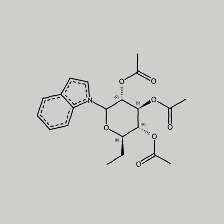 CC[C@H]1OC(n2ccc3ccccc32)[C@H](OC(C)=O)[C@@H](OC(C)=O)[C@@H]1OC(C)=O